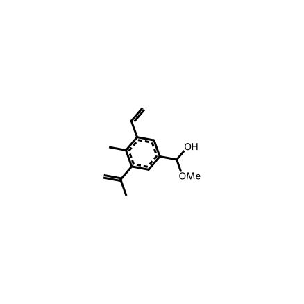 C=Cc1cc(C(O)OC)cc(C(=C)C)c1C